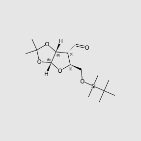 CC1(C)O[C@H]2O[C@H](CO[Si](C)(C)C(C)(C)C)[C@@H](C=O)[C@H]2O1